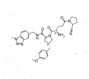 COc1ccc(C[C@@H]2C[C@@H](C(=O)NCc3ccc4c(c3)nnn4C)N(C(=O)[C@H](N)CCC(=O)N3CCCC3C#N)C2)cc1